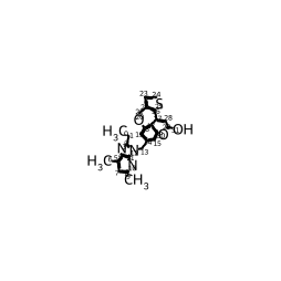 CCc1nc2c(C)cc(C)nc2n1Cc1ccc2c(c1)OCc1ccsc1C2=CC(=O)O